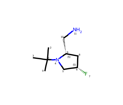 CC(C)(C)N1C[C@@H](F)C[C@H]1CN